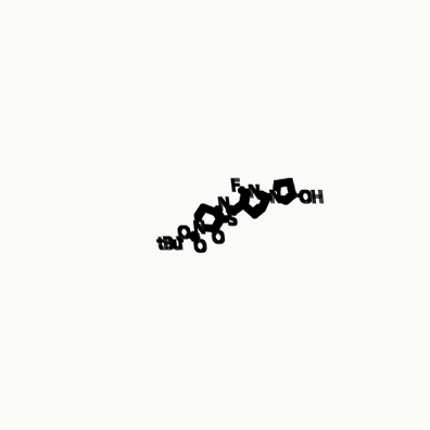 CC(C)(C)OC(=O)N1CCc2nc(-c3ccc(N4CC[C@H](O)C4)nc3F)sc2C1=O